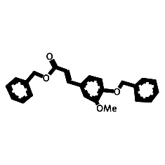 COc1cc(C=CC(=O)OCc2ccccc2)ccc1OCc1ccccc1